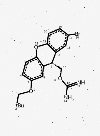 CC(C)(C)COc1ccc2c(c1)[C@H](COC(=N)N)c1cc(Br)ccc1O2